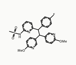 COc1ccc(C(c2ccc(OC)nc2)C(c2ccc(F)cc2)c2cccc(NS(C)(=O)=O)n2)cn1